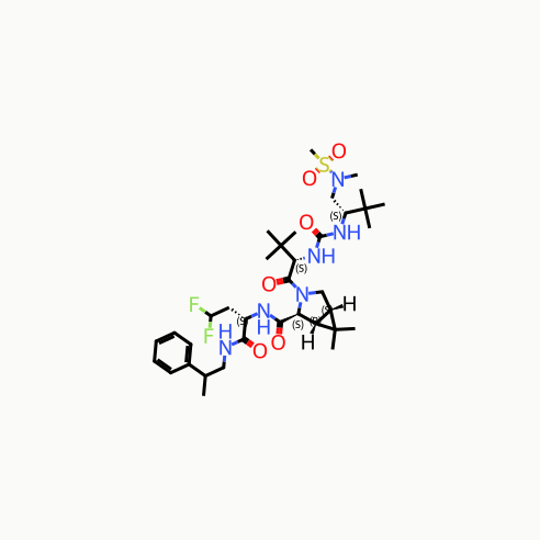 CC(CNC(=O)[C@H](CC(F)F)NC(=O)[C@@H]1[C@@H]2[C@H](CN1C(=O)[C@@H](NC(=O)N[C@H](CN(C)S(C)(=O)=O)C(C)(C)C)C(C)(C)C)C2(C)C)c1ccccc1